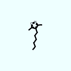 CCCCCCc1c(C)noc1C